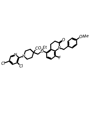 CCOC(=O)C1(COc2ccc(F)c3c2CCC(=O)N3Cc2ccc(OC)cc2)CCN(c2ncc(Cl)cc2Cl)CC1